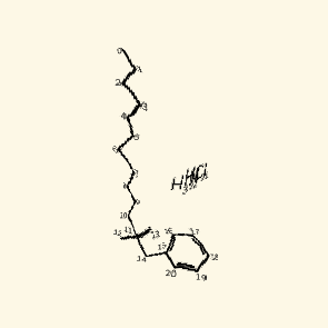 CCCCCCCCCCCC(C)(C)Cc1ccccc1.Cl.N